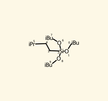 CCC(C)O[Si](CCC(C)C)(OC(C)CC)OC(C)CC